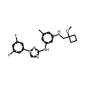 COC1(CNc2cc(C)cc(Nc3ncn(-c4cc(F)cc(F)c4)n3)c2)CCC1